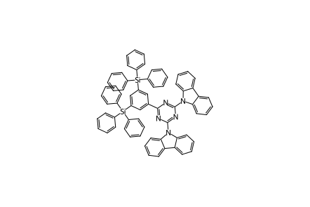 c1ccc([Si](c2ccccc2)(c2ccccc2)c2cc(-c3nc(-n4c5ccccc5c5ccccc54)nc(-n4c5ccccc5c5ccccc54)n3)cc([Si](c3ccccc3)(c3ccccc3)c3ccccc3)c2)cc1